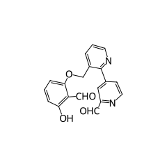 O=Cc1cc(-c2ncccc2COc2cccc(O)c2C=O)ccn1